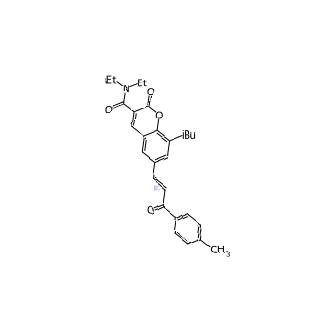 CCC(C)c1cc(/C=C/C(=O)c2ccc(C)cc2)cc2cc(C(=O)N(CC)CC)c(=O)oc12